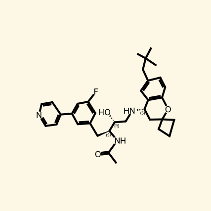 CC(=O)N[C@@H](Cc1cc(F)cc(-c2ccncc2)c1)[C@H](O)CN[C@H]1CC2(CCC2)Oc2ccc(CC(C)(C)C)cc21